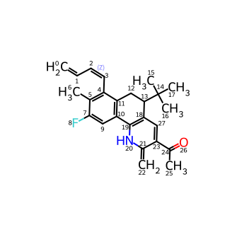 C=C/C=C\c1c(C)c(F)cc2c1CC(C(C)(C)C)C1=C2NC(=C)C(C(C)=O)=C1